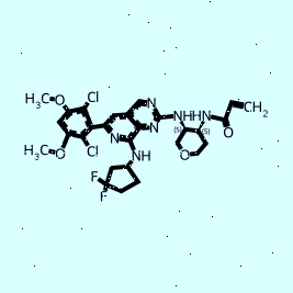 C=CC(=O)N[C@H]1CCOC[C@H]1Nc1ncc2cc(-c3c(Cl)c(OC)cc(OC)c3Cl)nc(NC3CCC(F)(F)C3)c2n1